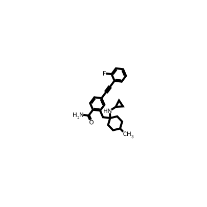 CC1CCC(Cc2cc(C#Cc3ccccc3F)ccc2C(N)=O)(NC2CC2)CC1